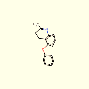 CC1=Nc2cccc(Oc3ccccc3)c2CC1